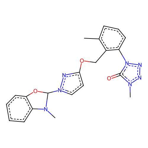 Cc1cccc(-n2nnn(C)c2=O)c1COc1ccn(C2Oc3ccccc3N2C)n1